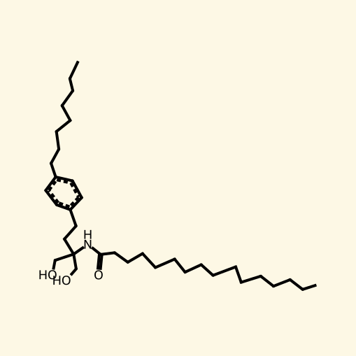 CCCCCCCCCCCCCCCC(=O)NC(CO)(CO)CCc1ccc(CCCCCCCC)cc1